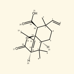 C=CC1(C)CC[C@H]2C(C)(C)[C@@H]3C=C(I)[C@]2(OC3=O)[C@H]1C(=O)O